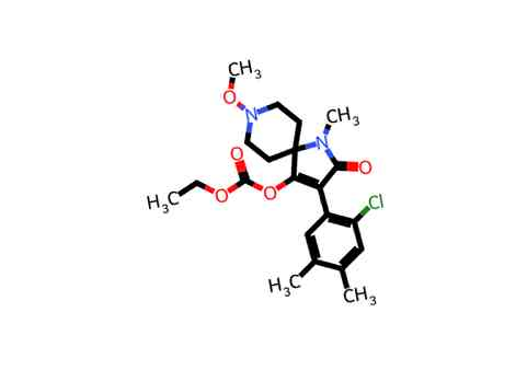 CCOC(=O)OC1=C(c2cc(C)c(C)cc2Cl)C(=O)N(C)C12CCN(OC)CC2